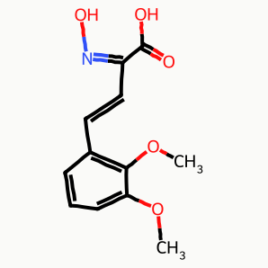 COc1cccc(C=CC(=NO)C(=O)O)c1OC